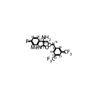 CNC(=O)[C@@](N)(CO[C@H](C)c1cc(C(F)(F)F)cc(C(F)(F)F)c1)c1ccc(F)cc1